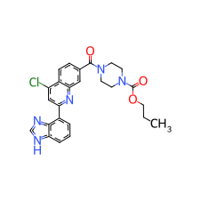 CCCOC(=O)N1CCN(C(=O)c2ccc3c(Cl)cc(-c4cccc5[nH]cnc45)nc3c2)CC1